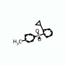 Cc1ccc(S(=O)(=O)c2ccccc2C2CC2)cc1